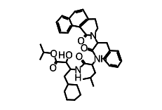 CC(C)CC(NC(=O)C(Cc1ccccc1)N1CCc2ccc3ccccc3c2C1=O)C(=O)NC(CC1CCCCC1)C(O)C(=O)OC(C)C